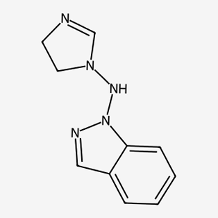 C1=NCCN1Nn1ncc2ccccc21